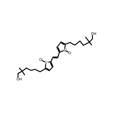 CC(C)(CO)CCCCc1ccc(C=Cc2ccc(CCCCC(C)(C)CO)[s+]2[O-])[s+]1[O-]